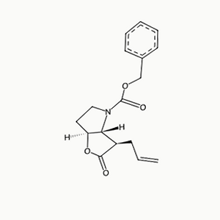 C=CC[C@H]1C(=O)O[C@H]2CCN(C(=O)OCc3ccccc3)[C@@H]21